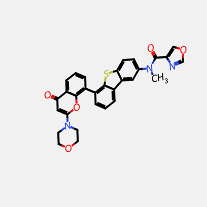 CN(C(=O)c1cocn1)c1ccc2sc3c(-c4cccc5c(=O)cc(N6CCOCC6)oc45)cccc3c2c1